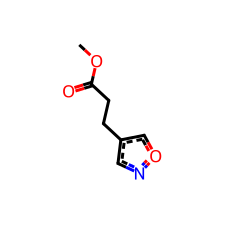 COC(=O)CCc1cnoc1